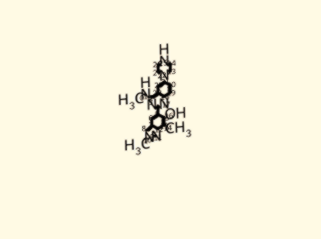 CNc1nc(-c2cc3cn(C)nc3c(C)c2O)nc2ccc(N3CCNCC3)cc12